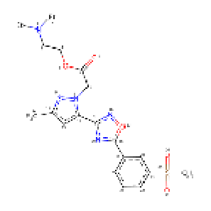 CCN(CC)CCOC(=O)Cn1nc(C(F)(F)F)cc1-c1noc(-c2cccc(S(C)(=O)=O)c2)n1